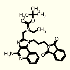 CCN(Cc1nc2c(N)nc3ccccc3c2n1CCCN1C(=O)c2ccccc2C1=O)C(=O)OC(C)(C)C